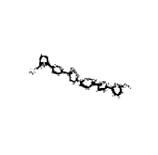 Cc1cccc(-c2ccc(-c3ccc(-c4ccc(-c5ccc(-c6cccc(C)n6)nn5)nn4)nn3)nn2)n1